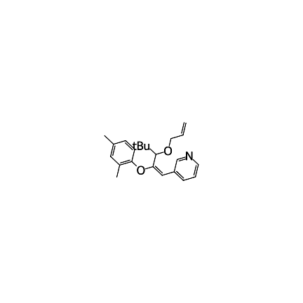 C=CCOC(/C(=C\c1cccnc1)Oc1ccc(C)cc1C)C(C)(C)C